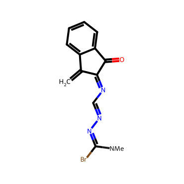 C=C1\C(=N/C=N/N=C(/Br)NC)C(=O)c2ccccc21